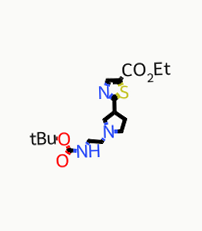 CCOC(=O)c1cnc(C2CCN(CCNC(=O)OC(C)(C)C)C2)s1